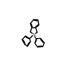 c1ccc([Si]2(c3ccccc3)Cc3ccccc3C2)cc1